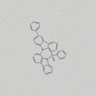 O=P1(c2ccccc2)c2cccc3c4cc(-c5ccccc5)ccc4n(c23)-c2cccc3c4ccccc4n1c23